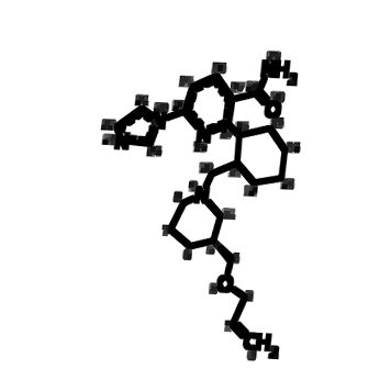 C=CCOC[C@H]1CCCN(CC2CCCCC2c2nc(-n3ccnc3)ccc2C(N)=O)C1